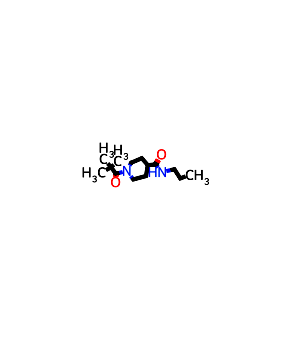 CCCNC(=O)C1CCN(C(=O)C(C)(C)C)CC1